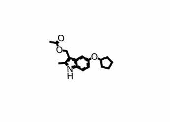 CC(=O)OCc1c(C)[nH]c2ccc(OC3CCCC3)cc12